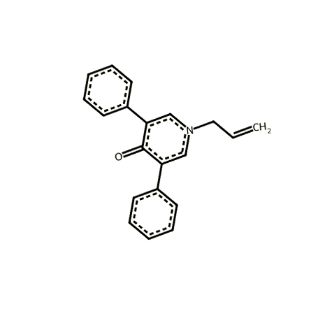 C=CCn1cc(-c2ccccc2)c(=O)c(-c2ccccc2)c1